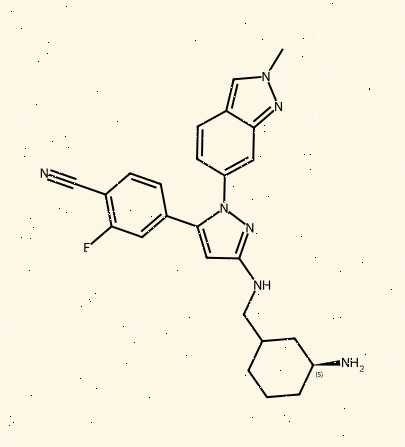 Cn1cc2ccc(-n3nc(NCC4CCC[C@H](N)C4)cc3-c3ccc(C#N)c(F)c3)cc2n1